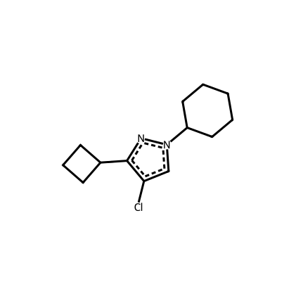 Clc1cn(C2CCCCC2)nc1C1CCC1